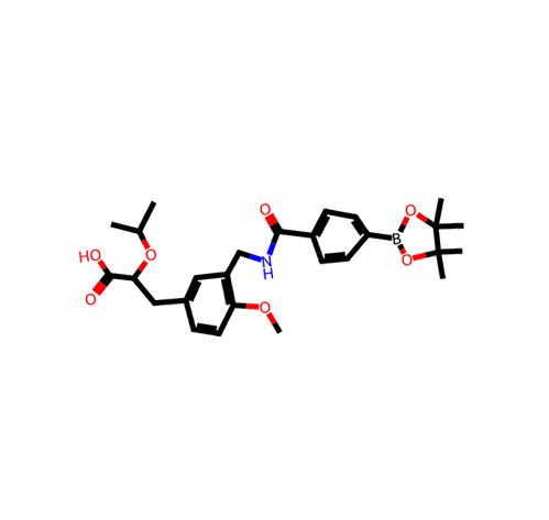 COc1ccc(CC(OC(C)C)C(=O)O)cc1CNC(=O)c1ccc(B2OC(C)(C)C(C)(C)O2)cc1